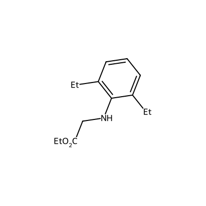 CCOC(=O)CNc1c(CC)cccc1CC